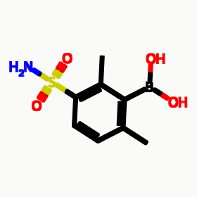 Cc1ccc(S(N)(=O)=O)c(C)c1B(O)O